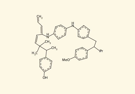 C=C/C=C(\C=C/C(C)(C)C(C)c1ccc(O)cc1)Nc1ccc(Nc2ccc(CC(c3ccc(OC)cc3)C(C)C)cc2)cc1